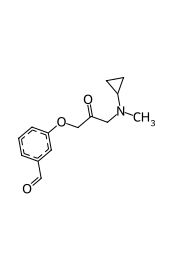 CN(CC(=O)COc1cccc(C=O)c1)C1CC1